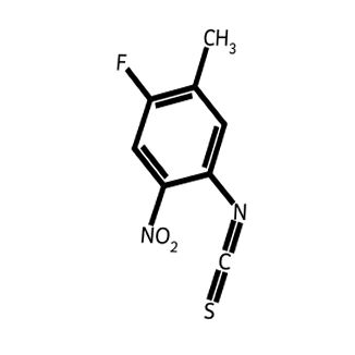 Cc1cc(N=C=S)c([N+](=O)[O-])cc1F